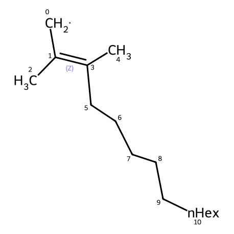 [CH2]/C(C)=C(\C)CCCCCCCCCCC